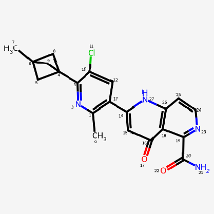 Cc1nc(C23CC(C)(C2)C3)c(Cl)cc1-c1cc(=O)c2c(C(N)=O)nccc2[nH]1